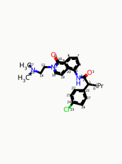 CC(C)C(C(=O)Nc1cccc2c(=O)n(CCN(C)C)ccc12)c1ccc(Cl)cc1